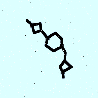 CN1CC(CN2CCN(C3CN(C)C3)CC2)C1